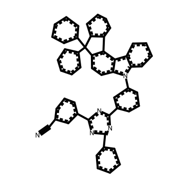 N#Cc1cccc(-c2nc(-c3ccccc3)nc(-c3cccc(-n4c5ccccc5c5c6c(ccc54)C(c4ccccc4)(c4ccccc4)c4ccccc4-6)c3)n2)c1